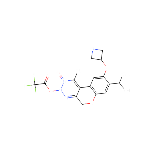 Cc1c2c(nn(OC(=O)C(F)(F)F)[n+]1=O)COc1cc(C(C)C)c(OC3CNC3)cc1-2